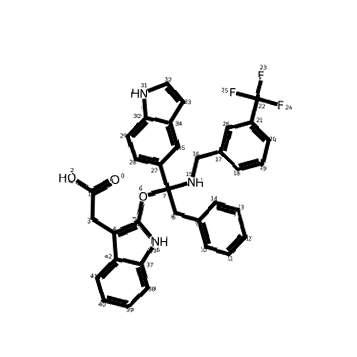 O=C(O)Cc1c(OC(Cc2ccccc2)(NCc2cccc(C(F)(F)F)c2)c2ccc3[nH]ccc3c2)[nH]c2ccccc12